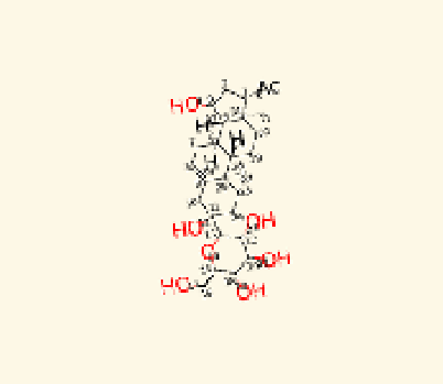 CC(=O)[C@H]1CC(O)[C@H]2[C@@H]3CC=C4CC(O)(C5O[C@H](CO)[C@@H](O)[C@H](O)[C@H]5O)CC[C@]4(C)[C@H]3CC[C@]12C